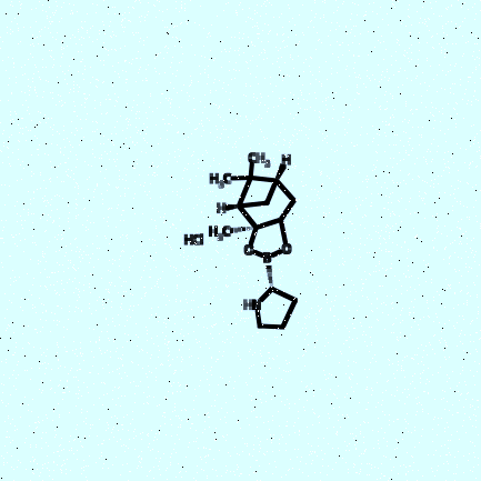 CC1(C)[C@@H]2CC3OB([C@@H]4CCCN4)O[C@@]3(C)[C@H]1C2.Cl